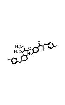 CCC(CC)C(=O)N(Cc1ccc(C(=O)NCc2ccc(F)cc2)cc1)C1CCN(Cc2ccc(F)cc2)CC1